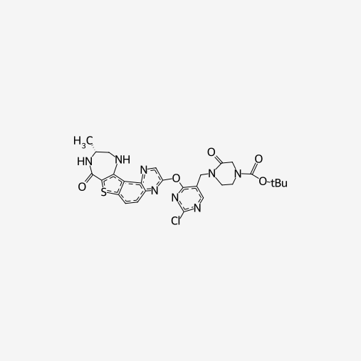 C[C@@H]1CNc2c(sc3ccc4nc(Oc5nc(Cl)ncc5CN5CCN(C(=O)OC(C)(C)C)CC5=O)cnc4c23)C(=O)N1